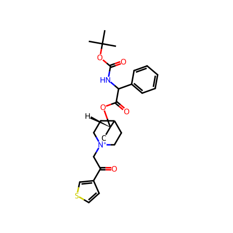 CC(C)(C)OC(=O)NC(C(=O)O[C@H]1C[N+]2(CC(=O)c3ccsc3)CCC1CC2)c1ccccc1